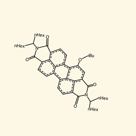 CCCCCCC(CCCCCC)N1C(=O)c2ccc3c4ccc5c6c(cc(OC(C)CC)c(c7ccc(c2c37)C1=O)c64)C(=O)N(C(CCCCCC)CCCCCC)C5=O